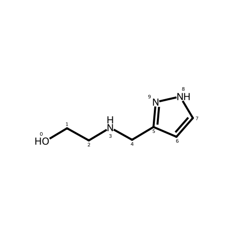 OCCNCc1cc[nH]n1